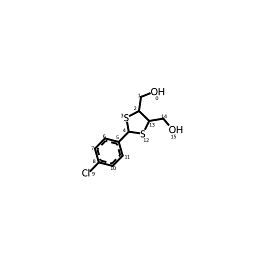 OCC1SC(c2ccc(Cl)cc2)SC1CO